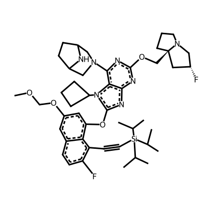 COCOc1cc(Oc2nc3nc(OC[C@@]45CCCN4C[C@H](F)C5)nc(N4CC5CCC(C4)N5)c3n2C2CCC2)c2c(C#C[Si](C(C)C)(C(C)C)C(C)C)c(F)ccc2c1